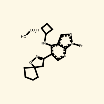 CCn1ncc2c(NC3CCC3)c(C3=NOC4(CCCC4)C3)cnc21.O=C(O)O